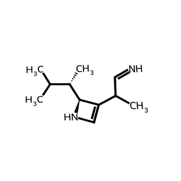 CC(C=N)C1=CN[C@H]1[C@@H](C)C(C)C